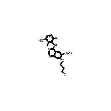 COc1cc2c(Nc3c(F)ccc(O)c3C)ncnc2cc1OCCCCl